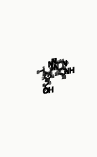 CC[C@@H]1C[C@H](CCO)C[C@@H]1c1nnc2cnc3[nH]ccc3n12